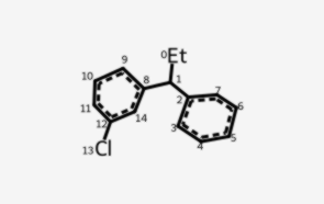 CCC(c1ccccc1)c1cccc(Cl)c1